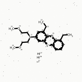 CCc1cccc2[s+]c3cc(N(CCOC)CCOC)cc(CC)c3nc12.I.I.[I-]